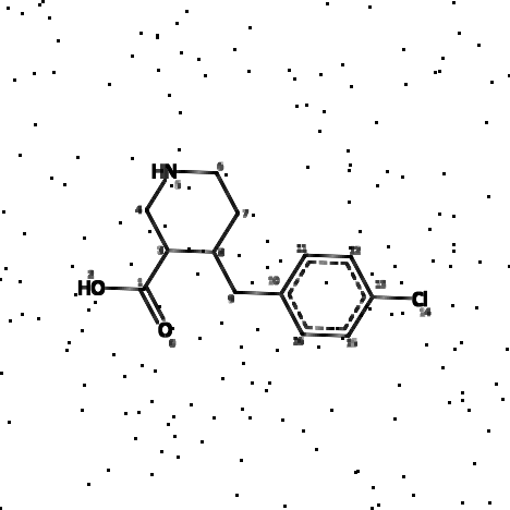 O=C(O)C1CNCCC1Cc1ccc(Cl)cc1